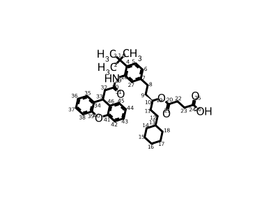 CC(C)(C)c1ccc(CC[C@H](CCC2CCCCC2)OC(=O)CCC(=O)O)cc1NC(=O)CC1c2ccccc2Oc2ccccc21